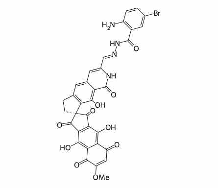 COC1=CC(=O)c2c(O)c3c(c(O)c2C1=O)C(=O)[C@]1(CCc2cc4cc(/C=N/NC(=O)c5cc(Br)ccc5N)[nH]c(=O)c4c(O)c21)C3=O